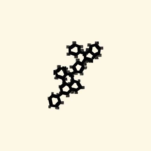 c1ccc(-c2cc3c4c(cccc4c2)N(c2ccc(-c4nc5ccccc5n4-c4ccccc4)cc2)c2ncncc2-3)cc1